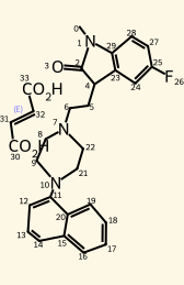 CN1C(=O)C(CCN2CCN(c3cccc4ccccc34)CC2)c2cc(F)ccc21.O=C(O)/C=C/C(=O)O